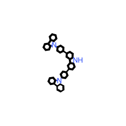 C1=CC2c3ccccc3N(c3ccc(-c4ccc5[nH]c6ccc(-c7ccc(-n8c9ccccc9c9ccccc98)cc7)cc6c5c4)cc3)C2C=C1